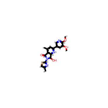 COc1cc(-c2cc(C)c3c(n2)C(O)N(c2nc(C)cs2)C3=O)cnc1OC